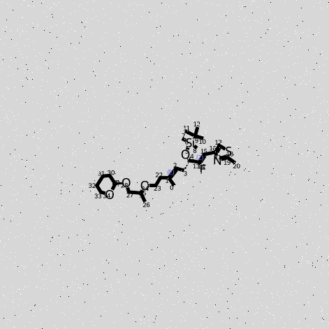 C/C(=C\C[C@H](O[Si](C)(C)C(C)(C)C)/C(F)=C/c1csc(C)n1)CCOC(C)CO[C@@H]1CCCCO1